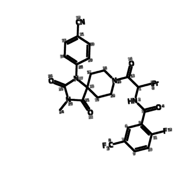 CC(C)C(NC(=O)c1cc(C(F)(F)F)ccc1F)C(=O)N1CCC2(CC1)C(=O)N(C)C(=O)N2c1ccc(C#N)cc1